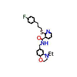 CCN1CCOc2ccc(CNC(=O)c3cccnc3SCCCc3ccc(F)cc3)cc21